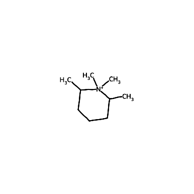 CC1CCCC(C)[N+]1(C)C